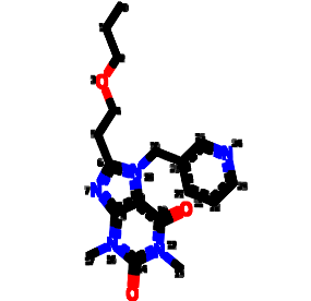 CCCOCCc1nc2c(c(=O)n(C)c(=O)n2C)n1Cc1cccnc1